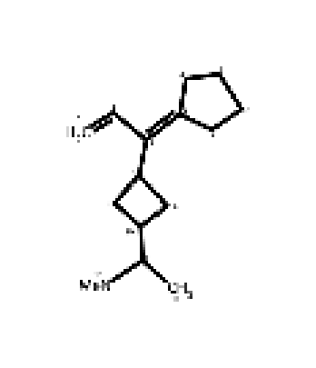 C=CC(=C1CCCC1)C1CC(C(C)NC)C1